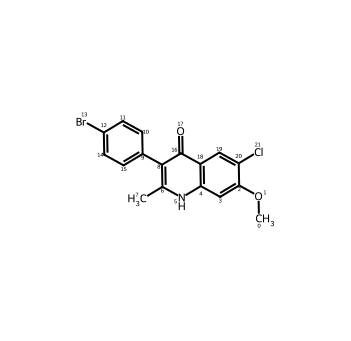 COc1cc2[nH]c(C)c(-c3ccc(Br)cc3)c(=O)c2cc1Cl